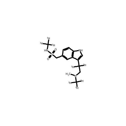 [2H]C([2H])([2H])NS(=O)(=O)Cc1ccc2[nH]cc(C([2H])([2H])CN(C)C([2H])([2H])[2H])c2c1